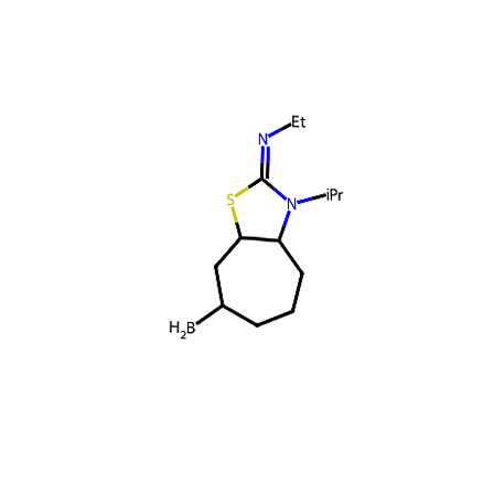 BC1CCCC2C(C1)S/C(=N/CC)N2C(C)C